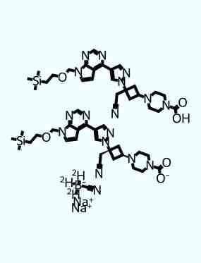 C[Si](C)(C)CCOCn1ccc2c(-c3cnn(C4(CC#N)CC(N5CCN(C(=O)O)CC5)C4)c3)ncnc21.C[Si](C)(C)CCOCn1ccc2c(-c3cnn([C@]4(CC#N)C[C@@H](N5CCN(C(=O)[O-])CC5)C4)c3)ncnc21.[2H][B-]([2H])([2H])C#N.[Na+].[Na+]